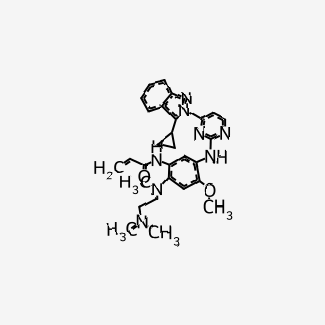 C=CC(=O)Nc1cc(Nc2nccc(-n3nc4ccccc4c3C3CC3)n2)c(OC)cc1N(C)CCN(C)C